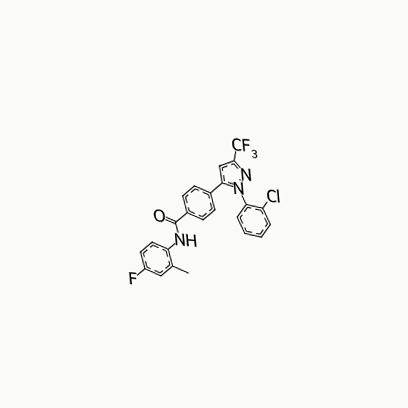 Cc1cc(F)ccc1NC(=O)c1ccc(-c2cc(C(F)(F)F)nn2-c2ccccc2Cl)cc1